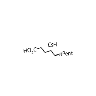 CCCCCCCCCC(=O)O.[CsH]